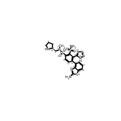 CN(C[C@@H]1CCCN1)S(=O)(=O)c1ccc(-c2cccc3sc(N)nc23)c(-c2nnn[nH]2)c1S(N)(=O)=O